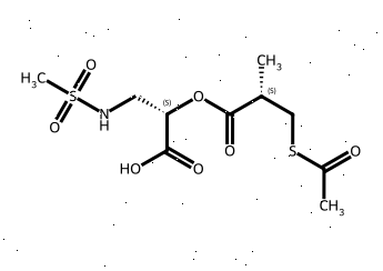 CC(=O)SC[C@@H](C)C(=O)O[C@@H](CNS(C)(=O)=O)C(=O)O